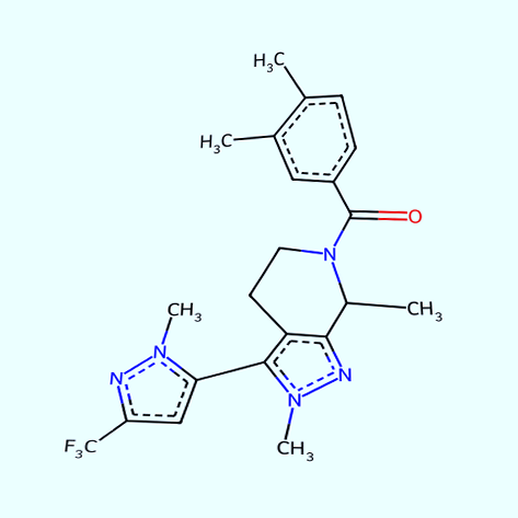 Cc1ccc(C(=O)N2CCc3c(nn(C)c3-c3cc(C(F)(F)F)nn3C)C2C)cc1C